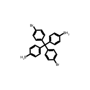 Bc1ccc(C(c2ccc(B)cc2)(c2ccc(Br)cc2)c2ccc(Br)cc2)cc1